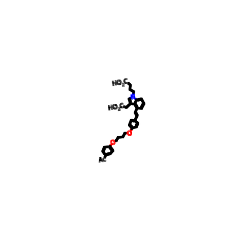 CC(=O)c1ccc(OCCCCOc2ccc(C=Cc3cccc4c3c(CC(=O)O)cn4CCCC(=O)O)cc2)cc1